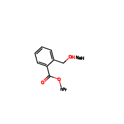 CCCOC(=O)c1ccccc1CO.[NaH]